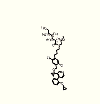 COCCN(CCCCc1cc(Cl)c(COC2(c3cnccc3-c3ccccc3OC3CC3)CC2)cc1Cl)C(=O)[C@@H](O)[C@@H](O)[C@H](O)[C@@H](O)CO